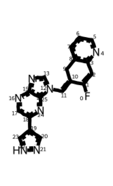 FC1=Cc2ncccc2CC1=Cn1cnc2ncc(-c3cn[nH]c3)nc21